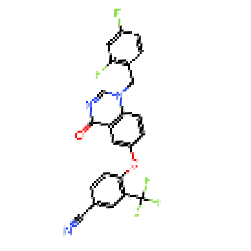 N#Cc1ccc(Oc2ccc3c(c2)c(=O)ncn3Cc2ccc(F)cc2F)c(C(F)(F)F)c1